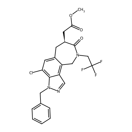 COC(=O)C[C@@H]1Cc2cc(Cl)c3c(cnn3Cc3ccccc3)c2CN(CC(F)(F)F)C1=O